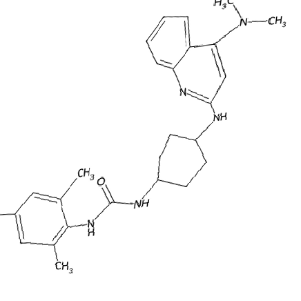 Cc1cc(Br)cc(C)c1NC(=O)NC1CCC(Nc2cc(N(C)C)c3ccccc3n2)CC1